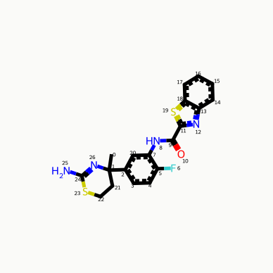 CC1(c2ccc(F)c(NC(=O)c3nc4ccccc4s3)c2)CCSC(N)=N1